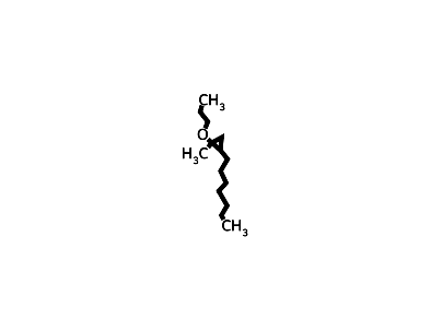 CCCCCCCC1CC1(C)OCCC